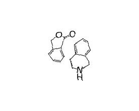 O=C1OCc2ccccc21.c1ccc2c(c1)CCNC2